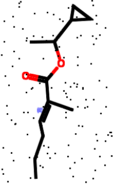 CCC/C=C(\C)C(=O)OC(C)C1CC1